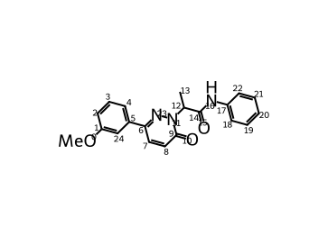 COc1cccc(-c2ccc(=O)n(C(C)C(=O)Nc3ccccc3)n2)c1